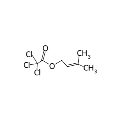 CC(C)=CCOC(=O)C(Cl)(Cl)Cl